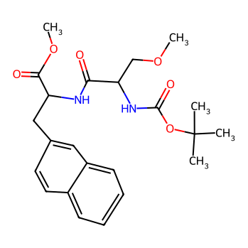 COCC(NC(=O)OC(C)(C)C)C(=O)NC(Cc1ccc2ccccc2c1)C(=O)OC